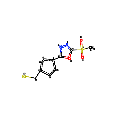 CS(=O)(=O)c1nnc(-c2ccc(CS)cc2)o1